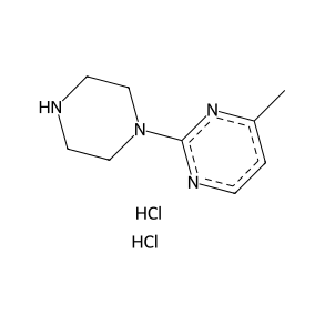 Cc1ccnc(N2CCNCC2)n1.Cl.Cl